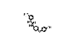 N#Cc1ccc(OC2CCC(NC(=O)Nc3cccc(C(F)(F)F)c3)CC2)cc1